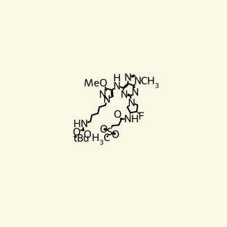 COc1nn(CCCCCNC(=O)OC(C)(C)C)cc1Nc1nc(N2C[C@@H](F)[C@H](NC(=O)CCS(C)(=O)=O)C2)nc2c1ncn2C